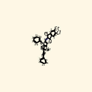 CCc1cc2c(cc1Cl)C(=O)/C(=C\c1cc3c(nc(C#Cc4ccccc4)n3C)n1-c1ccccc1)C2=O